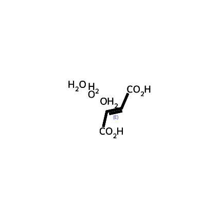 O.O.O.O=C(O)/C=C/C(=O)O